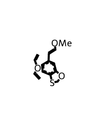 C=COC=C.COC=Cc1ccc2c(c1)OCS2